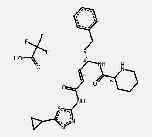 O=C(/C=C/[C@H](CCc1ccccc1)NC(=O)[C@@H]1CCCCN1)Nc1nnc(C2CC2)s1.O=C(O)C(F)(F)F